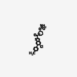 Cc1ccc(-c2cc3sc(C(=O)N4CCC[C@@H](OC(N)=O)C4)cc3cc2Cl)cc1